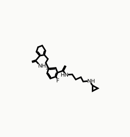 C=C(N)C1=CCCC=C1CCc1ccc(F)c(C(=C)NCCCCNC2CC2)c1